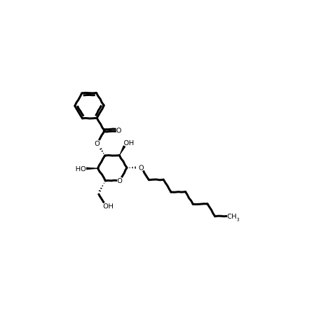 CCCCCCCCO[C@@H]1O[C@H](CO)[C@@H](O)[C@H](OC(=O)c2ccccc2)[C@H]1O